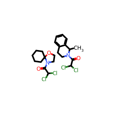 CC1c2ccccc2CCN1C(=O)C(Cl)Cl.O=C(C(Cl)Cl)N1CCOC12CCCCC2